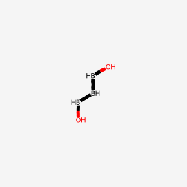 OBBBO